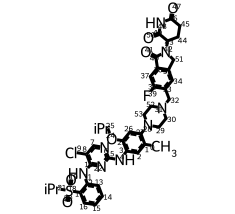 Cc1cc(Nc2ncc(Cl)c(Nc3ccccc3S(=O)(=O)C(C)C)n2)c(OC(C)C)cc1N1CCN(Cc2cc3c(cc2F)C(=O)N(C2CCC(=O)NC2=O)C3)CC1